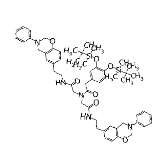 CC(C)(C)[Si](C)(C)Oc1ccc(CC(=O)N(CC(=O)NCCc2ccc3c(c2)CN(c2ccccc2)CO3)CC(=O)NCCc2ccc3c(c2)CN(c2ccccc2)CO3)cc1O[Si](C)(C)C(C)(C)C